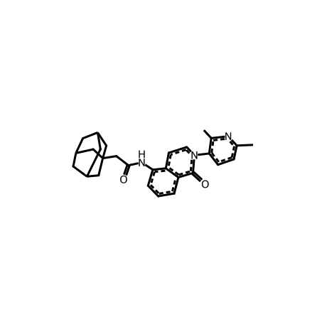 Cc1ccc(-n2ccc3c(NC(=O)CC45CC6CC(CC(C6)C4)C5)cccc3c2=O)c(C)n1